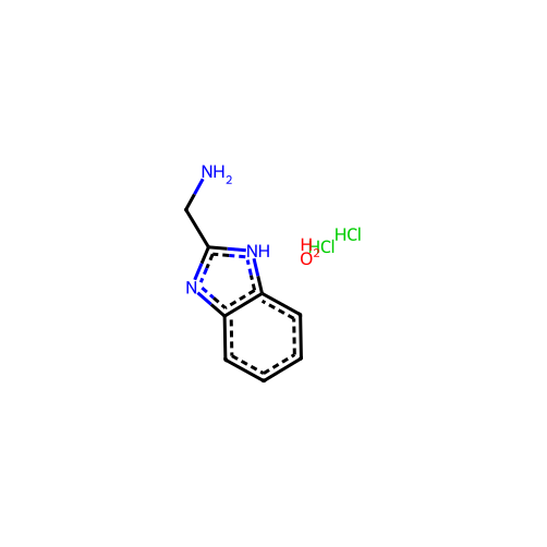 Cl.Cl.NCc1nc2ccccc2[nH]1.O